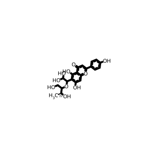 C[C@H](O)C(CO)OC(c1c(O)cc2oc(-c3ccc(O)cc3)cc(=O)c2c1O)C(O)O